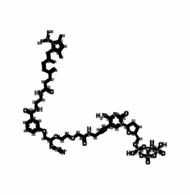 C=C(/C=C\C(C)=C\c1c(C)cc(C)n1B(F)F)CCC(=O)NCCNC(=O)c1cccc(OCC(N=[N+]=[N-])OCCOCC(=O)NCC#Cc2cn([C@H]3CC[C@@H](COP(=O)(O)OP(=O)(O)OP(=O)(O)O)O3)c(=O)nc2N)c1